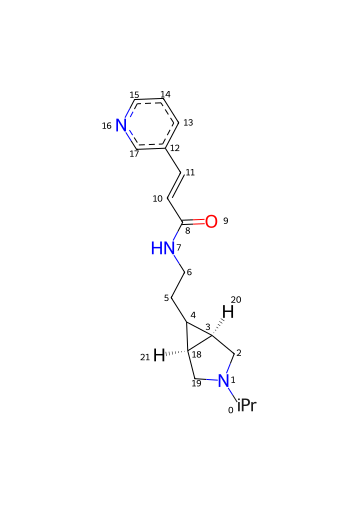 CC(C)N1C[C@@H]2C(CCNC(=O)/C=C/c3cccnc3)[C@@H]2C1